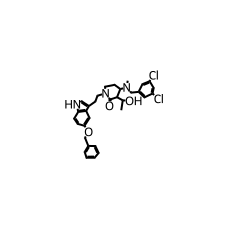 CC(O)C1C(=O)N(CCc2c[nH]c3ccc(OCc4ccccc4)cc23)CCC1N(C)Cc1cc(Cl)cc(Cl)c1